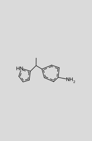 CC(c1ccc(N)cc1)c1ccc[nH]1